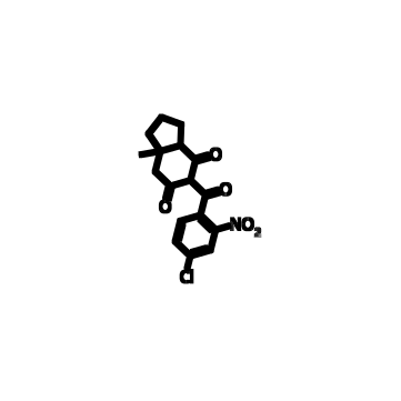 CC12CCCC1C(=O)C(C(=O)c1ccc(Cl)cc1[N+](=O)[O-])C(=O)C2